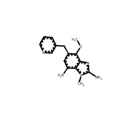 COc1c(Cc2cccnc2)cc(N)c2c1nc(N)n2C